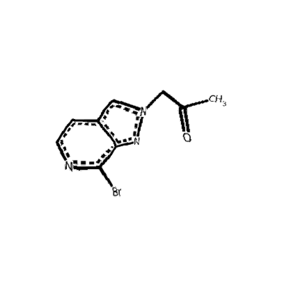 CC(=O)Cn1cc2ccnc(Br)c2n1